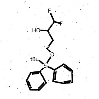 CC(C)(C)[Si](OCCC(O)C(F)F)(c1ccccc1)c1ccccc1